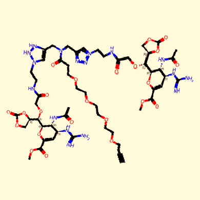 C#CCOCCOCCOCCOCCC(=O)N(CC1=CN(CCNC(=O)CO[C@@H]([C@@H]2OC(C(=O)OC)=C[C@H](NC(=N)N)[C@H]2NC(C)=O)[C@H]2COC(=O)O2)NN1)Cc1cn(CCNC(=O)CO[C@@H]([C@@H]2OC(C(=O)OC)=C[C@H](NC(=N)N)[C@H]2NC(C)=O)[C@H]2COC(=O)O2)nn1